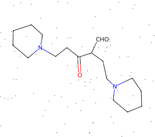 O=[C]C(CCN1CCCCC1)C(=O)CCN1CCCCC1